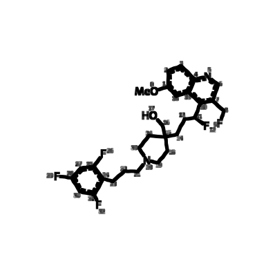 COc1ccc2ncc(CF)c([C@@H](F)CCC3(CO)CCN(CCCc4c(F)cc(F)cc4F)CC3)c2c1